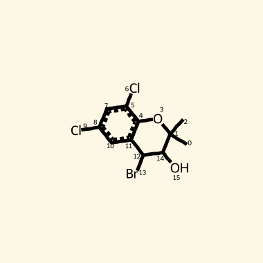 CC1(C)Oc2c(Cl)cc(Cl)cc2C(Br)C1O